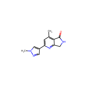 Cc1cc(-c2cnn(C)c2)nc2c1C(=O)NC2